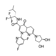 CC(C)C[C@H](NC(=O)C1=CN(c2ncc(F)cc2F)C2=NC(N3C[C@@H](O)[C@H](O)C3)=CCC2C1=O)C(F)(F)F